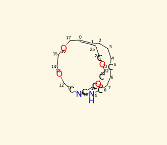 C1=C2/CCCCCCCNN(CCOCCOC/1)CCOCCOCC2